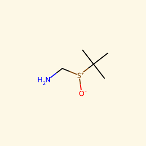 CC(C)(C)[S+]([O-])CN